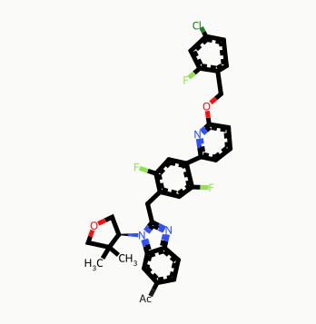 CC(=O)c1ccc2nc(Cc3cc(F)c(-c4cccc(OCc5ccc(Cl)cc5F)n4)cc3F)n([C@@H]3COCC3(C)C)c2c1